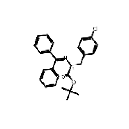 CC(C)(C)OC(=O)[C@H](Cc1ccc(Cl)cc1)N=C(c1ccccc1)c1ccccc1